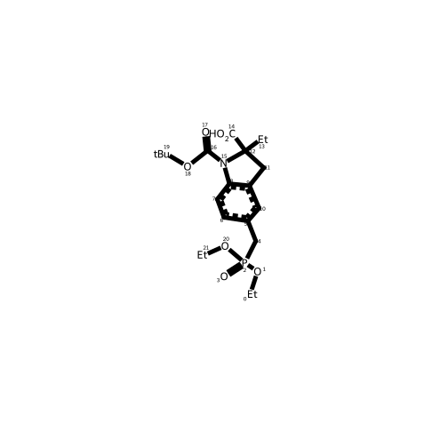 CCOP(=O)(Cc1ccc2c(c1)CC(CC)(C(=O)O)N2C(=O)OC(C)(C)C)OCC